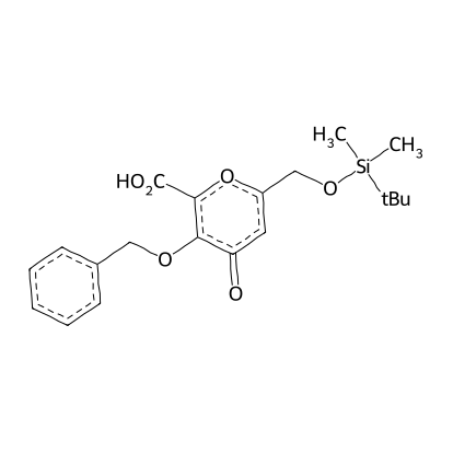 CC(C)(C)[Si](C)(C)OCc1cc(=O)c(OCc2ccccc2)c(C(=O)O)o1